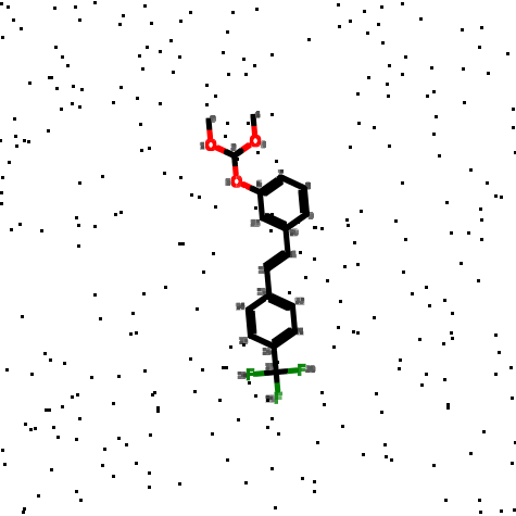 COC(OC)Oc1cccc(C=Cc2ccc(C(F)(F)F)cc2)c1